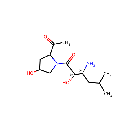 CC(=O)C1CC(O)CN1C(=O)[C@@H](O)[C@H](N)CC(C)C